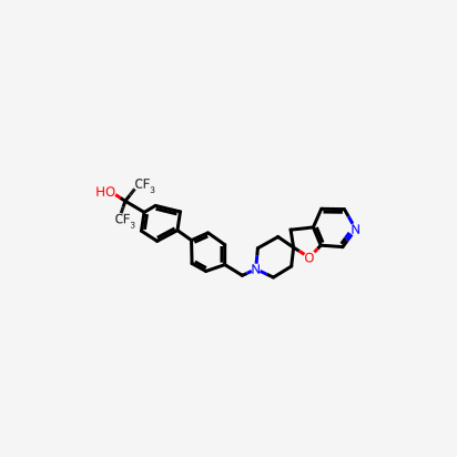 OC(c1ccc(-c2ccc(CN3CCC4(CC3)Cc3ccncc3O4)cc2)cc1)(C(F)(F)F)C(F)(F)F